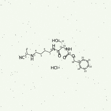 CC(C#N)NCCCCNC(=O)[C@H](CO)NC(=O)OCc1ccccc1.Cl